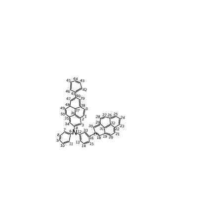 C1=Cc2cc(N(c3ccccc3)c3cccc(-c4cc5ccc6cccc7ccc(c4)c5c67)c3)cc3c2C2C1=CC(c1ccccc1)=CC2C=C3